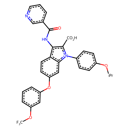 CC(C)Oc1ccc(-n2c(C(=O)O)c(NC(=O)c3cccnc3)c3ccc(Oc4cccc(OC(F)(F)F)c4)cc32)cc1